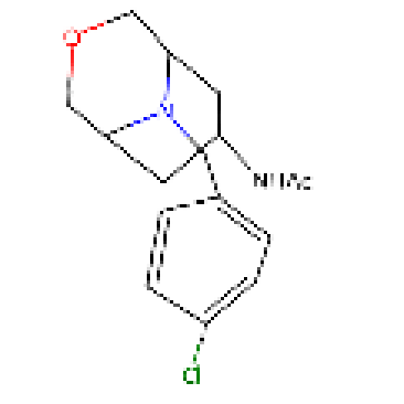 CC(=O)NC1CC2COCC(C1)N2Cc1ccc(Cl)cc1